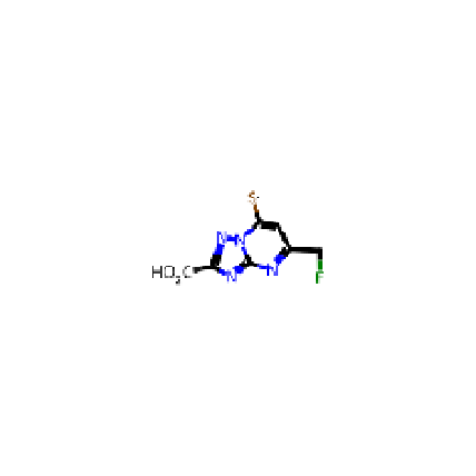 O=C(O)c1nc2nc(CF)cc([S])n2n1